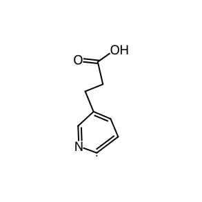 O=C(O)CCc1cc[c]nc1